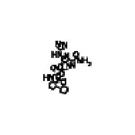 NC(=O)C1=NN(CC(=O)ON2CC[C@H]2C(=O)Nc2cccc(-c3ccccc3Cl)c2F)C2SC(Nc3cncnc3)=NC12